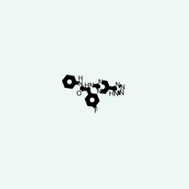 O=C(Nc1ccccc1)C(Nc1ncc(-c2nnn[nH]2)cn1)c1ccc(F)cc1